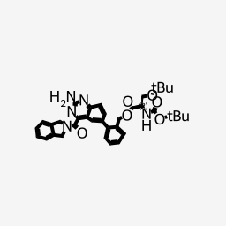 CC(C)(C)OC[C@@H](NC(=O)OC(C)(C)C)C(=O)OCc1ccccc1-c1ccc2nc(N)nc(C(=O)N3Cc4ccccc4C3)c2c1